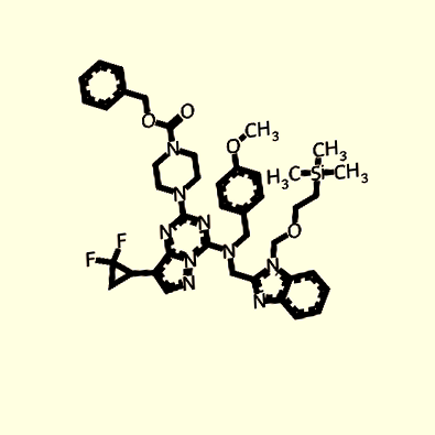 COc1ccc(CN(Cc2nc3ccccc3n2COCC[Si](C)(C)C)c2nc(N3CCN(C(=O)OCc4ccccc4)CC3)nc3c(C4CC4(F)F)cnn23)cc1